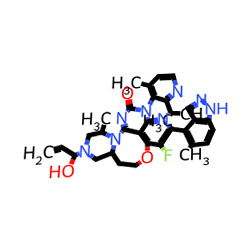 C=CC(O)N1CC(C)N2c3nc(=O)n(-c4c(C)ccnc4C(C)C)c4nc(-c5c(C)ccc6[nH]ncc56)c(F)c(c34)OCCC2C1